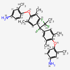 Cc1cc(C(F)(c2cc(C)c(Oc3ccc(N)cc3C(F)(F)F)c(C)c2)C(F)(F)C(F)(F)F)cc(C)c1Oc1ccc(N)cc1C(F)(F)F